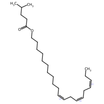 CC/C=C\C/C=C\C/C=C\CCCCCCCCCCOC(=O)CCC(C)C